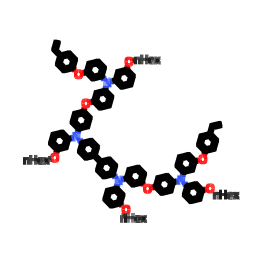 C=Cc1ccc(Oc2cccc(N(c3ccc(Oc4cccc(N(c5ccc(-c6ccc(N(c7ccc(Oc8cccc(N(c9cccc(OCCCCCC)c9)c9cccc(Oc%10ccc(C=C)cc%10)c9)c8)cc7)c7cccc(OCCCCCC)c7)cc6)cc5)c5cccc(OCCCCCC)c5)c4)cc3)c3cccc(OCCCCCC)c3)c2)cc1